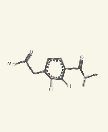 CSC(=O)Cc1ccc(C(=O)N(C)C)c(Cl)c1Cl